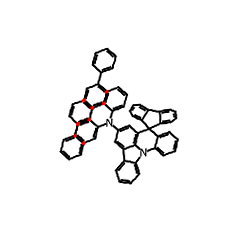 c1ccc(-c2ccc(-c3ccccc3N(c3cc4c5c(c3)c3ccccc3n5-c3ccccc3C43c4ccccc4-c4ccccc43)c3ccccc3-c3cccc(-c4ccccc4)c3)cc2)cc1